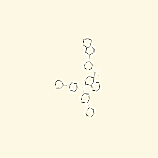 CC1(C)c2cc(-c3ccc4ccccc4c3)ccc2-c2cc(N(c3ccc(-c4ccccc4)cc3)c3ccc(-c4ccccc4)cc3)c3ccccc3c21